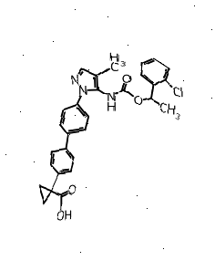 Cc1cnn(-c2ccc(-c3ccc(C4(C(=O)O)CC4)cc3)cc2)c1NC(=O)OC(C)c1ccccc1Cl